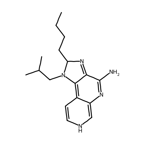 CCCCC1N=c2c(N)nc3c(c2N1CC(C)C)C=CNC=3